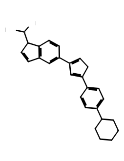 OC(O)C1C=Cc2cc(C3=CCC(c4ccc(C5CCCCC5)cc4)=C3)ccc21